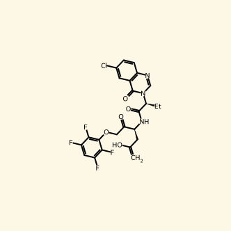 C=C(O)C[C@H](NC(=O)[C@H](CC)n1cnc2ccc(Cl)cc2c1=O)C(=O)COc1c(F)c(F)cc(F)c1F